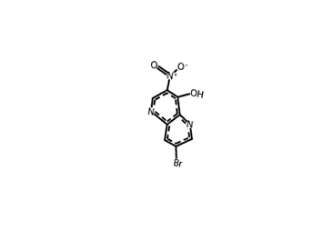 O=[N+]([O-])c1cnc2cc(Br)cnc2c1O